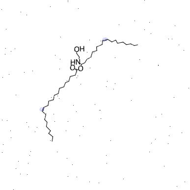 CCCCCCCC/C=C\CCCCCCCCCCCC(=O)OC(CCCCCCC/C=C\CCCCCCCC)NCCO